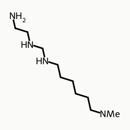 CNCCCCCCNCNCCN